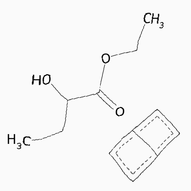 CCOC(=O)C(O)CC.c1cc2ccc1-2